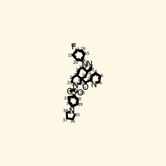 O=C(c1ccccn1)C12Cc3cnn(-c4ccc(F)cc4)c3C=C1CCN(S(=O)(=O)c1ccc(N3CCCC3)cc1)C2